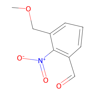 COCc1cccc(C=O)c1[N+](=O)[O-]